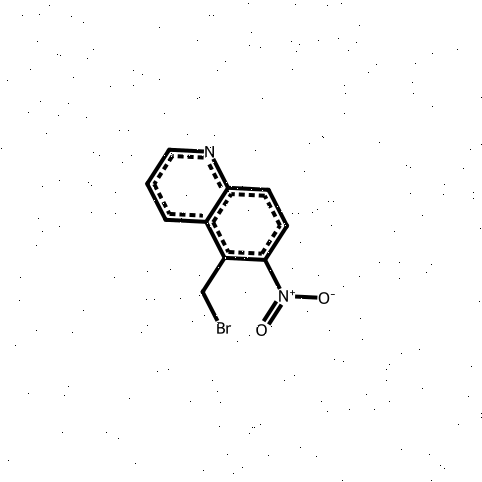 O=[N+]([O-])c1ccc2ncccc2c1CBr